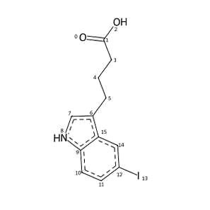 O=C(O)CCCc1c[nH]c2ccc(I)cc12